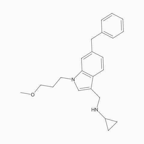 COCCCn1cc(CNC2CC2)c2ccc(Cc3ccccc3)cc21